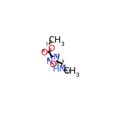 CCOC(=O)c1noc(CNC)n1